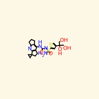 N[S@@](=O)(=NC(=O)Nc1c2c(nc3c1CCC31CC1)CCC2)c1cc(C(O)(CO)CO)cs1